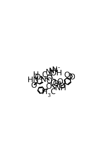 C[C@H](NP(=O)(OC[C@H]1O[C@@H](N2C=CC(=O)NOC2)[C@](C)(N=[N+]=[N-])[C@@H]1O)Oc1ccc2c(c1)OCO2)C(=O)OCc1ccccc1